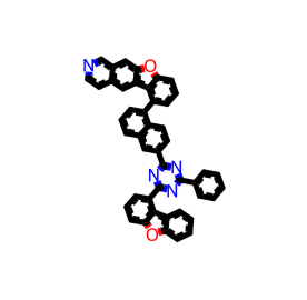 c1ccc(-c2nc(-c3ccc4c(-c5cccc6oc7cc8cnccc8cc7c56)cccc4c3)nc(-c3cccc4oc5ccccc5c34)n2)cc1